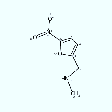 CNCc1ccc([N+](=O)[O-])o1